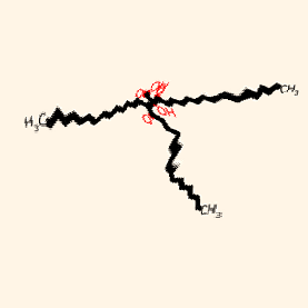 CCCCCCCCCCCCCCCC(=O)C(CCCCCCCCCCCCCCC)C(O)(C(=O)O)C(=O)CCCCCCCCCCCCCCC